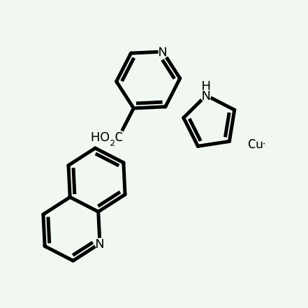 O=C(O)c1ccncc1.[Cu].c1cc[nH]c1.c1ccc2ncccc2c1